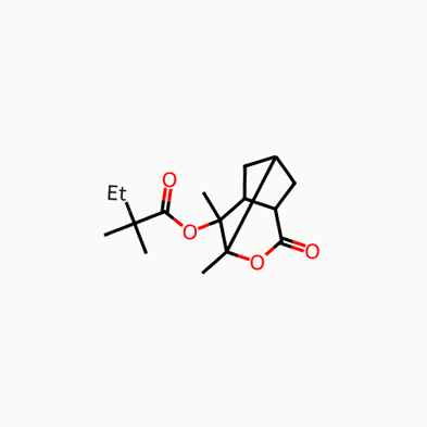 CCC(C)(C)C(=O)OC1(C)C2CC3CC2C(=O)OC31C